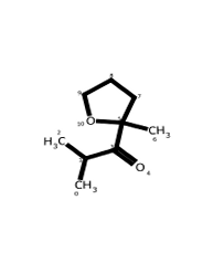 CC(C)C(=O)C1(C)CCCO1